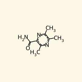 Cc1nc(C)c(C(N)=O)nc1C